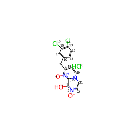 Cl.[O-][N+]1=C(O)C2=[N+]([O-])C(Cc3ccc(Cl)c(Cl)c3)C=CN2C=C1